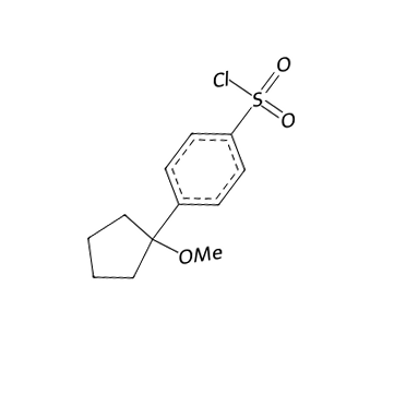 COC1(c2ccc(S(=O)(=O)Cl)cc2)CCCC1